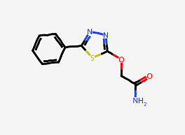 NC(=O)COc1nnc(-c2ccccc2)s1